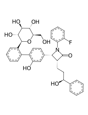 O=C1[C@H](CC[C@H](O)c2ccccc2)[C@H](c2ccc(-c3ccccc3[C@@H]3O[C@H](CO)[C@@H](O)[C@H](O)[C@H]3O)c(O)c2)N1c1ccccc1F